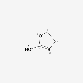 OC1=BCCO1